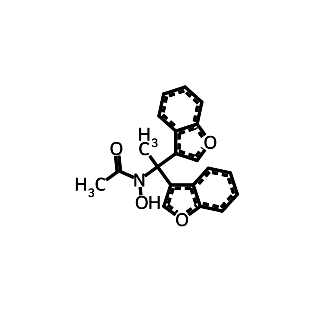 CC(=O)N(O)C(C)(c1coc2ccccc12)c1coc2ccccc12